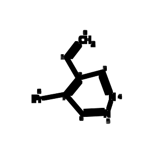 C=Cc1cnncc1C(C)C